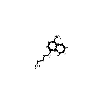 O=[N+]([O-])c1ccc(OCCCO)c2ncccc12